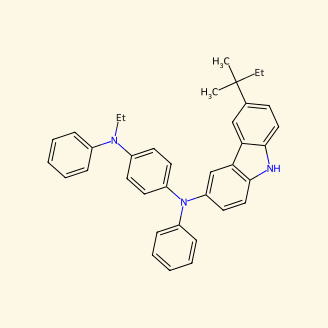 CCN(c1ccccc1)c1ccc(N(c2ccccc2)c2ccc3[nH]c4ccc(C(C)(C)CC)cc4c3c2)cc1